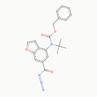 CC(C)(C)N(C(=O)OCc1ccccc1)c1cc(C(=O)N=[N+]=[N-])cc2occc12